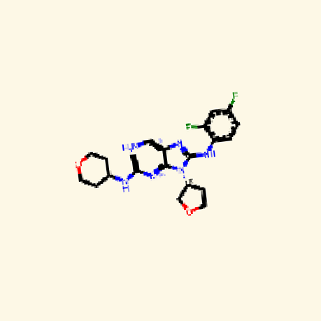 C=C(/N=C1\C(=C/N)N=C(Nc2ccc(F)cc2F)N1[C@@H]1CCOC1)NC1CCOCC1